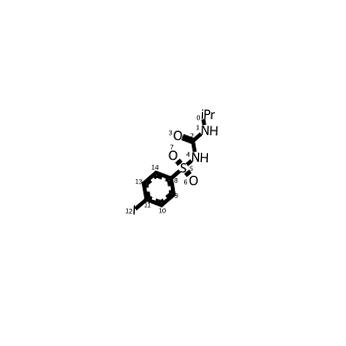 CC(C)NC(=O)NS(=O)(=O)c1ccc(I)cc1